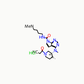 CNCCCCNC(=O)n1ccc2c(N(C)[C@H]3CN(C(=O)CC#N)CC[C@H]3C)ncnc21.Cl